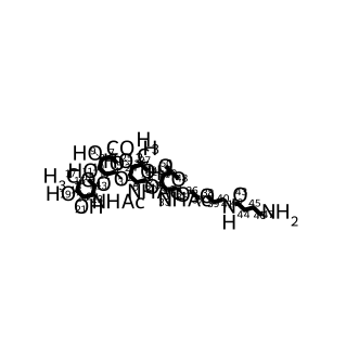 CC(=O)NC1C(O[C@@H]2OC(C(=O)O)[C@@H](O)C(O)C2O[C@@H]2OC(C)[C@@H](O)C(O)[C@@H]2NC(C)=O)[C@H](O)C(C)O[C@H]1OC1C(NC(C)=O)[C@H](OCCOCCNC(=O)CCCN)OC2O[C@@H]21